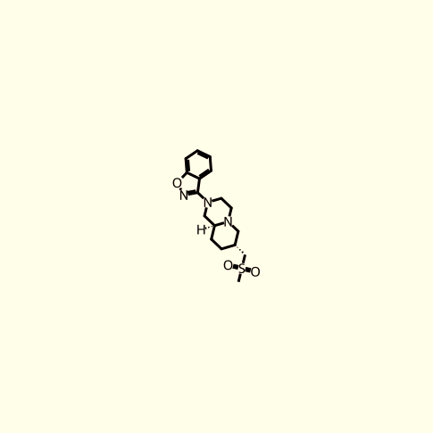 CS(=O)(=O)C[C@@H]1CC[C@H]2CN(c3noc4ccccc34)CCN2C1